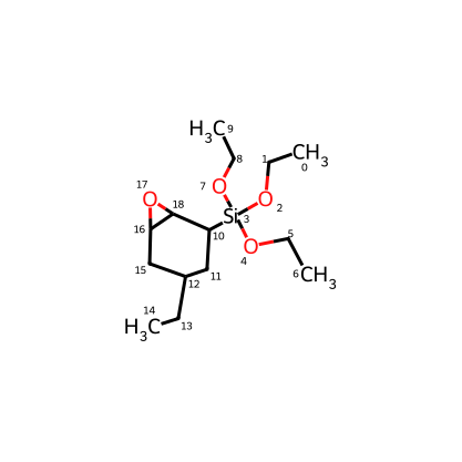 CCO[Si](OCC)(OCC)C1CC(CC)CC2OC21